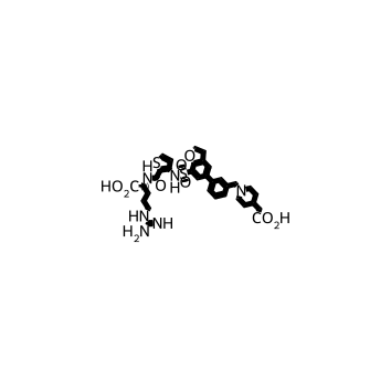 N=C(N)NCCC[C@H](NC(=O)c1sccc1NS(=O)(=O)c1cc(-c2cccc(CN3CCC(CC(=O)O)CC3)c2)cc2c1OCC2)C(=O)O